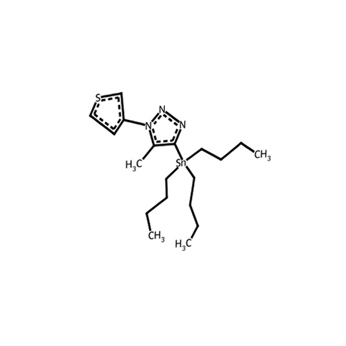 CCC[CH2][Sn]([CH2]CCC)([CH2]CCC)[c]1nnn(-c2ccsc2)c1C